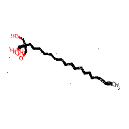 C=CCCCCCCCCCCCCCCCC(CO)(CO)CO